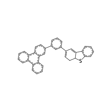 C1=C(c2cccc(-c3ccc4c5ccccc5c5ccccc5c4c3)c2)C=C2c3ccccc3SC2C1